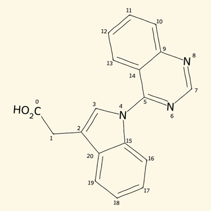 O=C(O)Cc1cn(-c2ncnc3ccccc23)c2ccccc12